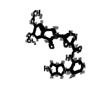 COc1cc2c(cc1OC)C(=O)N(c1nnc(C(=O)Nc3cnccc3N3CC4CNCC4C3)o1)C2